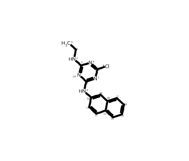 CCNc1nc(Cl)nc(Nc2ccc3ccccc3c2)n1